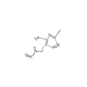 Cc1ncc(CNC=O)c(N)n1